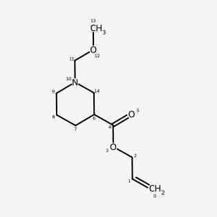 C=CCOC(=O)C1CCCN(COC)C1